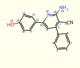 N#Cc1c(-c2ccccc2)cc(-c2ccc(O)cc2)nc1N